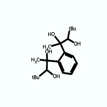 CC(C)(C)C(O)C(C)(O)c1ccccc1C(C)(O)C(O)C(C)(C)C